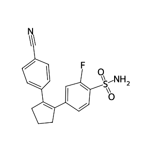 N#Cc1ccc(C2=C(c3ccc(S(N)(=O)=O)c(F)c3)CCC2)cc1